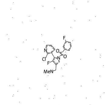 CNCc1cn(S(=O)(=O)c2cccc(F)c2)c(-c2cccnc2Cl)c1F